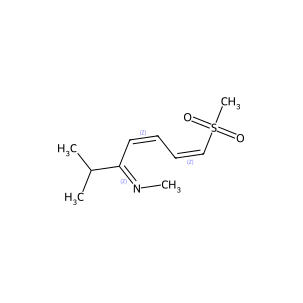 C\N=C(/C=C\C=C/S(C)(=O)=O)C(C)C